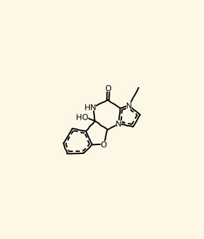 Cn1cc[n+]2c1C(=O)NC1(O)c3ccccc3OC21